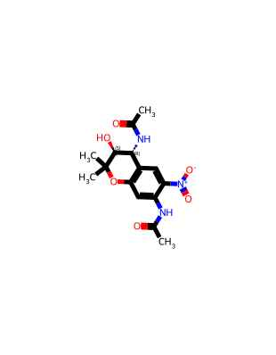 CC(=O)Nc1cc2c(cc1[N+](=O)[O-])[C@@H](NC(C)=O)[C@H](O)C(C)(C)O2